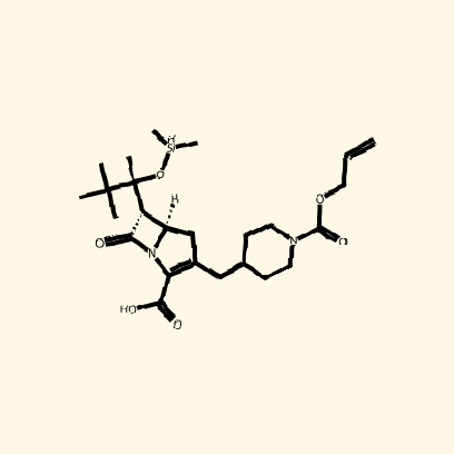 C=CCOC(=O)N1CCC(CC2=C(C(=O)O)N3C(=O)[C@H]([C@@](C)(O[SiH](C)C)C(C)(C)C)[C@H]3C2)CC1